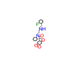 O=C1N(CCCNCCc2ccccc2F)c2ccccc2C12COc1cc3c(cc12)OCO3